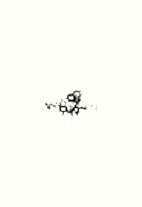 Cc1cc(N(C)CCN(C)C)c(N)cc1Nc1ncc(C=CC#N)c(-c2cn3c4c(cccc24)CCC3)n1